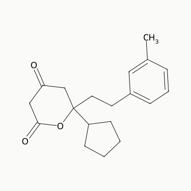 Cc1cccc(CCC2(C3CCCC3)CC(=O)CC(=O)O2)c1